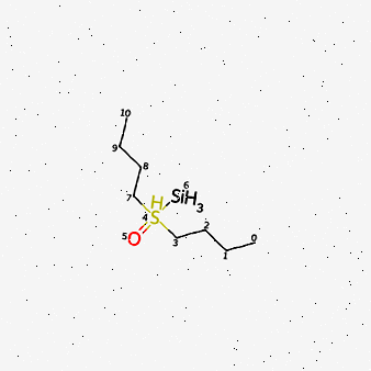 CCCC[SH](=O)([SiH3])CCCC